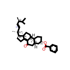 CC(C)[C@H](C)/C=C/[C@@H](C)[C@H]1CCC2=C3C(=O)C[C@H]4C[C@@H](OC(=O)c5ccccc5)CC[C@]4(C)[C@H]3CC[C@@]21C